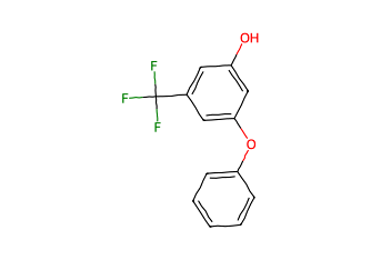 Oc1cc(Oc2ccccc2)cc(C(F)(F)F)c1